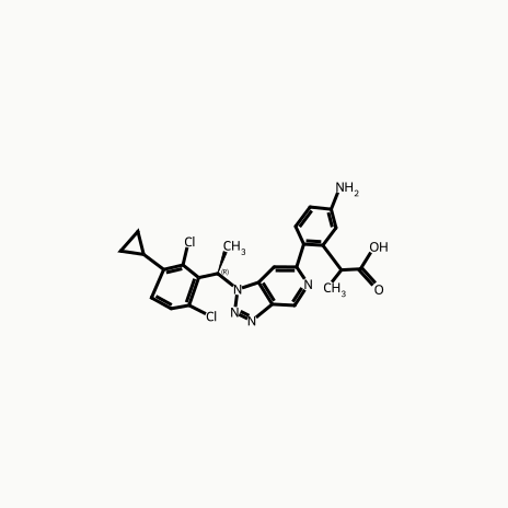 CC(C(=O)O)c1cc(N)ccc1-c1cc2c(cn1)nnn2[C@H](C)c1c(Cl)ccc(C2CC2)c1Cl